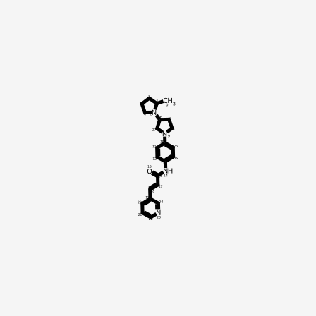 CC1CCCN1C1CCN(c2ccc(NC(=O)/C=C/c3cccnc3)cc2)C1